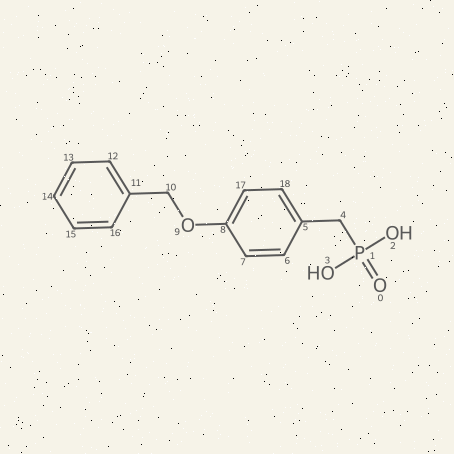 O=P(O)(O)Cc1ccc(OCc2ccccc2)cc1